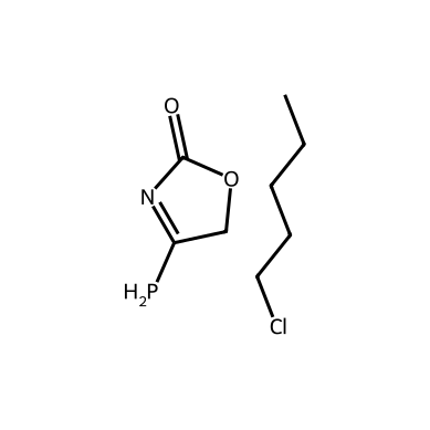 CCCCCCl.O=C1N=C(P)CO1